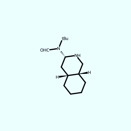 CC(C)(C)N(C=O)[C@H]1C[C@H]2CCCC[C@H]2CN1